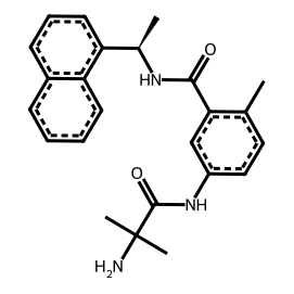 Cc1ccc(NC(=O)C(C)(C)N)cc1C(=O)N[C@H](C)c1cccc2ccccc12